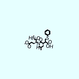 CNC(=O)[C@H](CCC(=O)OC)NC(=O)[C@H](CC(C)C)C(CSc1ccccc1)C(=O)O